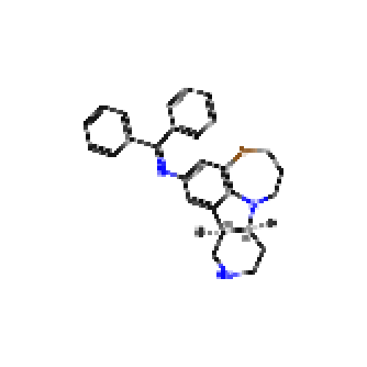 c1ccc(C(=Nc2cc3c4c(c2)[C@@H]2CNCC[C@@H]2N4CCCS3)c2ccccc2)cc1